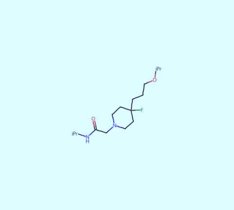 CC(C)NC(=O)CN1CCC(F)(CCCOC(C)C)CC1